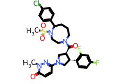 Cn1nc(N2C[C@@H](C(=O)N3CCCC(c4ccc(Cl)cc4)N(S(C)(=O)=O)CC3)[C@H](c3ccc(F)cc3F)C2)ccc1=O